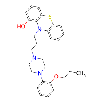 CCCOc1ccccc1N1CCN(CCCN2c3ccccc3Sc3cccc(O)c32)CC1